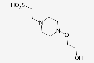 O=S(=O)(O)CCN1CCN(OCCO)CC1